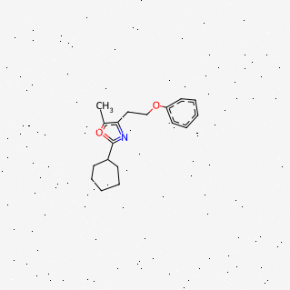 Cc1oc(C2CCCCC2)nc1CCOc1[c]cccc1